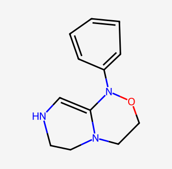 C1=C2N(CCN1)CCON2c1ccccc1